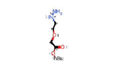 CCCCOC(=O)COCCNN